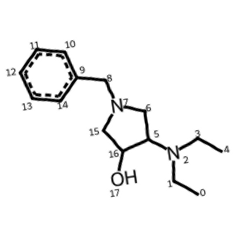 CCN(CC)C1CN(Cc2ccccc2)CC1O